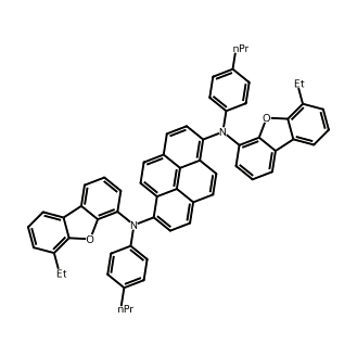 CCCc1ccc(N(c2ccc3ccc4c(N(c5ccc(CCC)cc5)c5cccc6c5oc5c(CC)cccc56)ccc5ccc2c3c54)c2cccc3c2oc2c(CC)cccc23)cc1